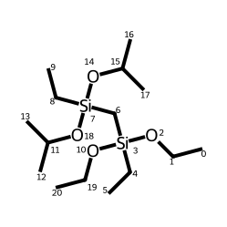 CCO[Si](CC)(C[Si](CC)(OC(C)C)OC(C)C)OCC